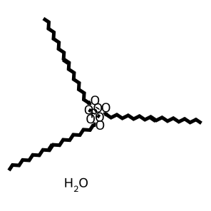 CCCCCCCCC=CCCCCCCCC(=O)OP(=O)(OC(=O)CCCCCCCC=CCCCCCCCC)OC(=O)CCCCCCCC=CCCCCCCCC.O